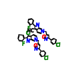 Fc1ccccc1-c1nc2cn(Cc3cc(-c4ccc(Cl)cc4)no3)ccc-2c1Cl.N#Cc1c2ccn(Cc3cc(-c4ccc(Cl)cc4)no3)cc-2nc1-c1ccccc1F